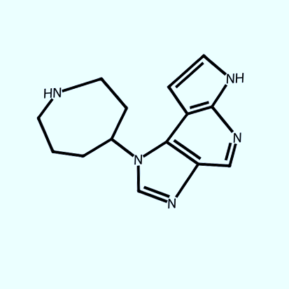 c1cc2c(ncc3ncn(C4CCCNCC4)c32)[nH]1